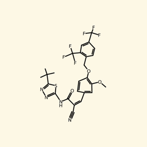 COc1cc(C=C(C#N)C(=O)Nc2nnc(C(C)(C)C)s2)ccc1OCc1ccc(C(F)(F)F)cc1C(F)(F)F